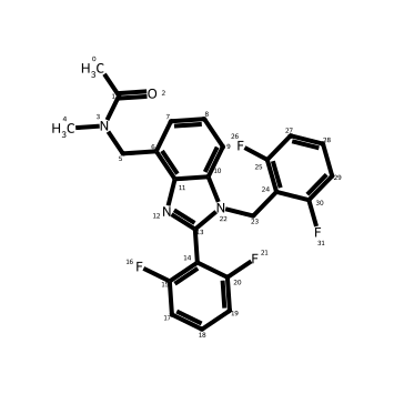 CC(=O)N(C)Cc1cccc2c1nc(-c1c(F)cccc1F)n2Cc1c(F)cccc1F